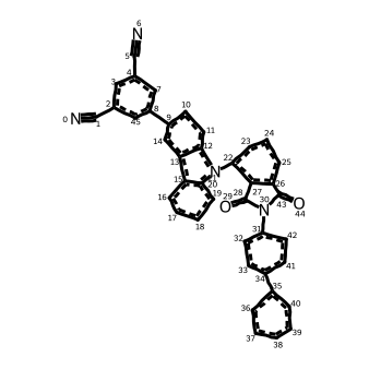 N#Cc1cc(C#N)cc(-c2ccc3c(c2)c2ccccc2n3-c2cccc3c2C(=O)N(c2ccc(-c4ccccc4)cc2)C3=O)c1